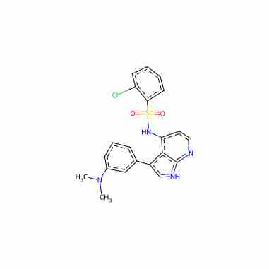 CN(C)c1cccc(-c2c[nH]c3nccc(NS(=O)(=O)c4ccccc4Cl)c23)c1